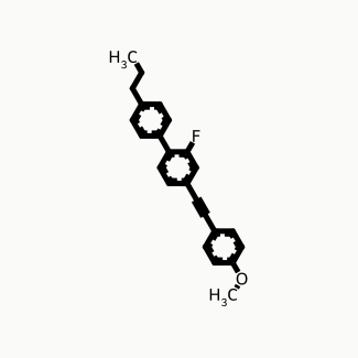 CCCc1ccc(-c2ccc(C#Cc3ccc(OC)cc3)cc2F)cc1